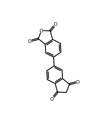 O=C1CC(=O)c2cc(-c3ccc4c(c3)C(=O)OC4=O)ccc21